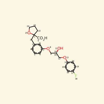 O=C(O)C1(Cc2cccc(OC[C@@H](O)COc3ccc(F)cc3)c2)CCCO1